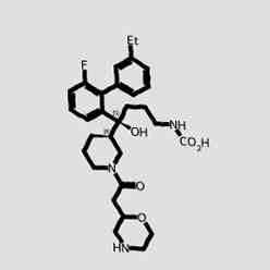 CCc1cccc(-c2c(F)cccc2[C@](O)(CCCNC(=O)O)[C@@H]2CCCN(C(=O)CC3CNCCO3)C2)c1